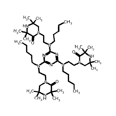 CCCCCN(CCN1CC(C)(C)NC(C)(C)C1=O)c1nc(N(CCCCC)CCN2CC(C)(C)NC(C)(C)C2=O)nc(N(CCCCC)CCN2CC(C)(C)NC(C)(C)C2=O)n1